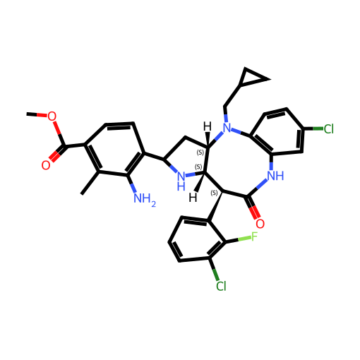 COC(=O)c1ccc(C2C[C@H]3[C@@H](N2)[C@H](c2cccc(Cl)c2F)C(=O)Nc2cc(Cl)ccc2N3CC2CC2)c(N)c1C